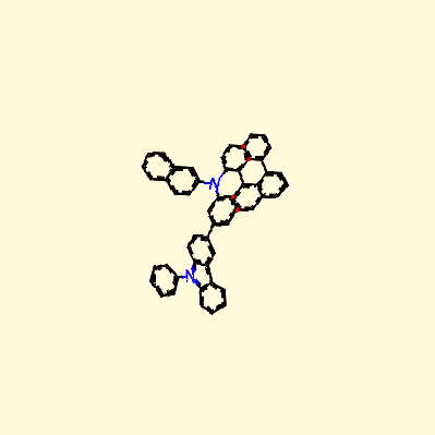 c1ccc(-c2cccc3cccc(-c4ccccc4N(c4cccc(-c5ccc6c(c5)c5ccccc5n6-c5ccccc5)c4)c4ccc5ccccc5c4)c23)cc1